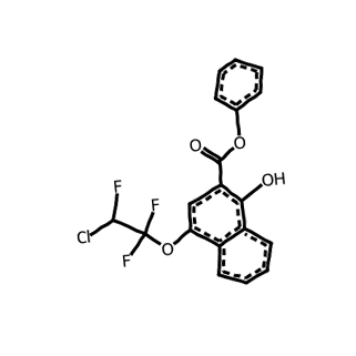 O=C(Oc1ccccc1)c1cc(OC(F)(F)C(F)Cl)c2ccccc2c1O